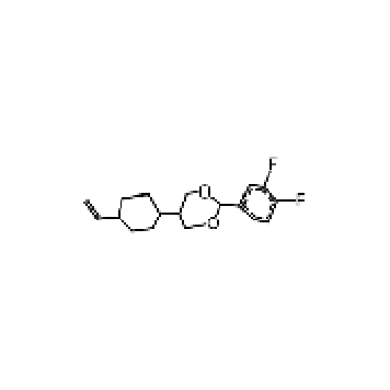 C=CC1CCC(C2COC(c3ccc(F)c(F)c3)OC2)CC1